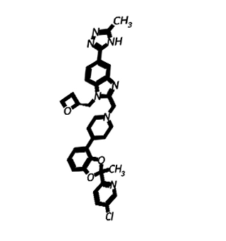 Cc1nnc(-c2ccc3c(c2)nc(CN2CCC(c4cccc5c4OC(C)(c4ccc(Cl)cn4)O5)CC2)n3C[C@@H]2CCO2)[nH]1